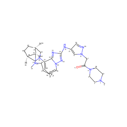 CN1CCN(C(=O)Cn2cc(Nc3nc4c(N5C[C@H]6CC[C@@H](C5)[C@H]6N(C)CCC(F)(F)F)cccn4n3)cn2)CC1